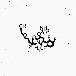 C#CCOCCCC(F)(F)CN1C(=O)C(OC(N)=O)CC(c2c(F)ccc(F)c2F)C1C